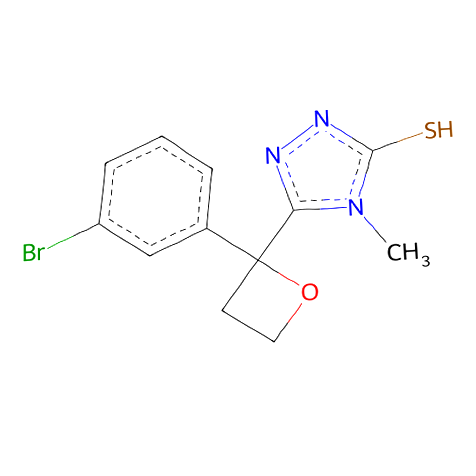 Cn1c(S)nnc1C1(c2cccc(Br)c2)CCO1